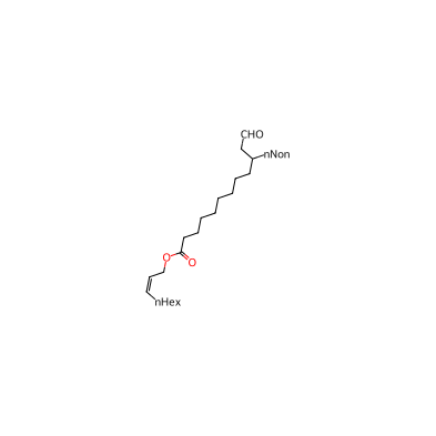 CCCCCC/C=C\COC(=O)CCCCCCCCC(CC=O)CCCCCCCCC